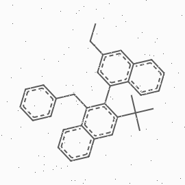 CCc1[c]c(-c2c(C(C)(C)C)cc3ccccc3c2[C]c2ccccc2)c2ccccc2c1